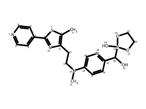 Cc1sc(-c2ccncc2)nc1CCN(C)c1ccc(C(O)[P]2(O)OCCO2)nc1